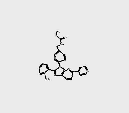 CC(C)(C)OC(=O)NCc1ccc(-n2c(-c3cccnc3N)nc3ccc(-c4ccncc4)nc32)cc1